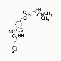 CN(C)c1ncc(CNC(=O)OCC2CCc3c(sc(NC(=O)C=Cc4ccsc4)c3C#N)C2)s1